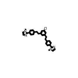 Cn1ccnc1-c1ccc(CCc2cc(Cl)cc(CCc3ccc(-c4nccn4C)cc3)c2)cc1